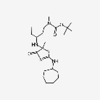 CCC(CCN(C)C(=O)OC(C)(C)C)NC1(C)SC(NC2CCCCCC2)=NC1=O